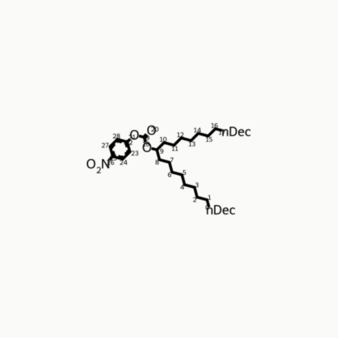 CCCCCCCCCCCCCCCCCCC(CCCCCCCCCCCCCCCCC)OC(=O)Oc1ccc([N+](=O)[O-])cc1